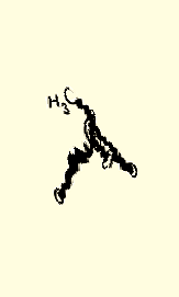 CCCCCOC(C=CCCCCCCCC=O)OC(C=CCCCCCCCC=O)OCCCCC